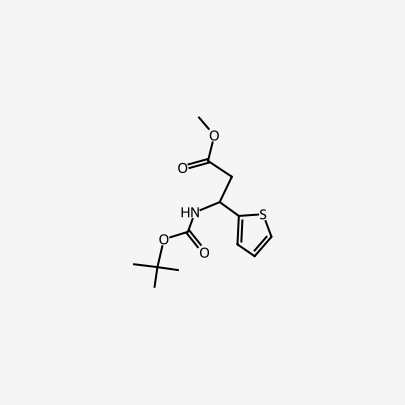 COC(=O)CC(NC(=O)OC(C)(C)C)c1cccs1